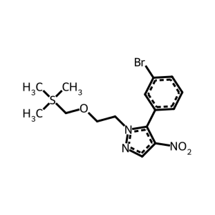 CS(C)(C)COCCn1ncc([N+](=O)[O-])c1-c1cccc(Br)c1